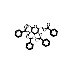 O=C(OC[C@H]1O[C@H](Br)[C@H](OC(=O)c2ccccc2)[C@@H](OC(=O)c2ccccc2)[C@@H]1OC(=O)c1ccccc1)c1ccccc1